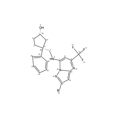 O[C@H]1CC[C@](CNc2cc(C(F)(F)F)nc3cc(Br)nn23)(c2ccccc2)C1